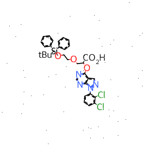 CC(C)(C)[Si](OCCOCC(Oc1ncnc2c1cnn2-c1cccc(Cl)c1Cl)C(=O)O)(c1ccccc1)c1ccccc1